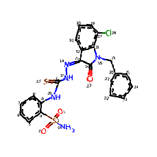 NS(=O)(=O)c1ccccc1NC(=S)NN=C1C(=O)N(Cc2ccccc2)c2c(Cl)cccc21